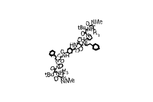 CN[C@@H](C)C(=O)N[C@H](C(=O)N1CCC[C@H]1CN(CCc1ccccc1)C(=O)[C@@H](C)NC(=O)c1ccc(C(=O)N[C@H](C)C(=O)N(CCc2ccccc2)C[C@@H]2CCCN2C(=O)[C@@H](NC(=O)[C@H](C)NC)C(C)(C)C)cc1)C(C)(C)C